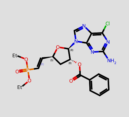 CCOP(=O)(/C=C/[C@@H]1C[C@@H](OC(=O)c2ccccc2)[C@H](n2cnc3c(Cl)nc(N)nc32)O1)OCC